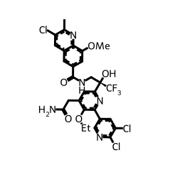 CCOc1c(CC(N)=O)cc([C@@](O)(CNC(=O)c2cc(OC)c3nc(C)c(Cl)cc3c2)C(F)(F)F)nc1-c1cnc(Cl)c(Cl)c1